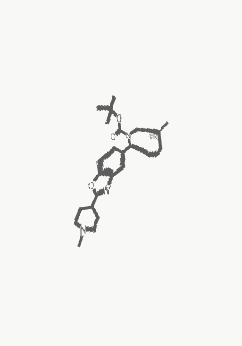 C[C@H]1CC=C(c2ccc3oc(C4CCN(C)CC4)nc3c2)N(C(=O)OC(C)(C)C)C1